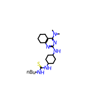 CCCCNC(=S)NC1CCC(Nc2nc3c(c(N(C)C)n2)CCCC3)CC1